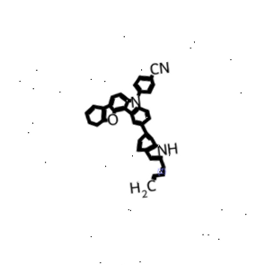 C=C/C=C\c1cc2ccc(-c3ccc4c(c3)c3c5oc6c(c5ccc3n4-c3ccc(C#N)cc3)C=CCC6)cc2[nH]1